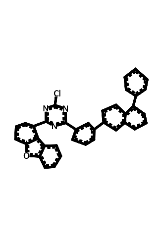 Clc1nc(-c2cccc(-c3ccc4c(-c5ccccc5)cccc4c3)c2)nc(-c2cccc3oc4ccccc4c23)n1